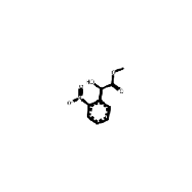 COC(=O)C(O)c1ccccc1[N+](=O)[O-]